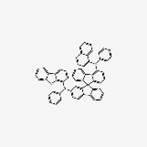 c1ccc(N(c2cccc3c2-c2ccccc2C32c3ccccc3-c3ccc(N(c4ccccc4)c4cccc5c4sc4ccccc45)cc32)c2cccc3ccccc23)cc1